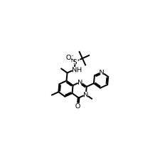 Cc1cc(C(C)N[S@+]([O-])C(C)(C)C)c2nc(-c3cccnc3)n(C)c(=O)c2c1